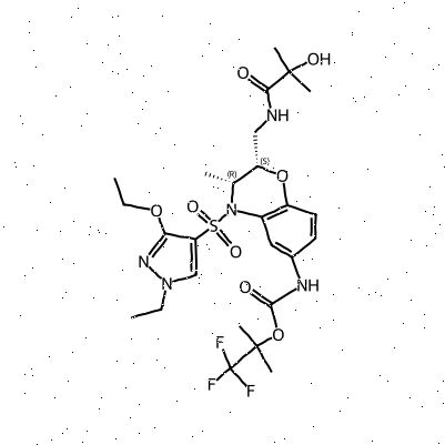 CCOc1nn(CC)cc1S(=O)(=O)N1c2cc(NC(=O)OC(C)(C)C(F)(F)F)ccc2O[C@@H](CNC(=O)C(C)(C)O)[C@H]1C